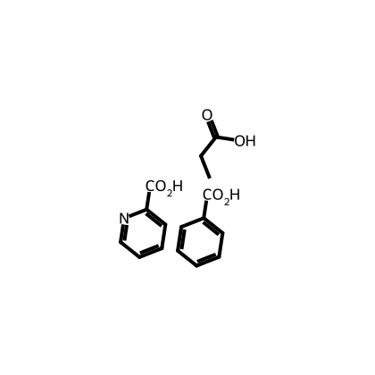 CCC(=O)O.O=C(O)c1ccccc1.O=C(O)c1ccccn1